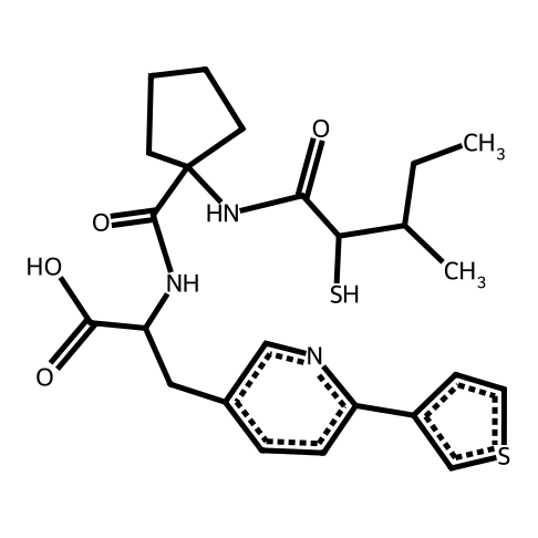 CCC(C)C(S)C(=O)NC1(C(=O)NC(Cc2ccc(-c3ccsc3)nc2)C(=O)O)CCCC1